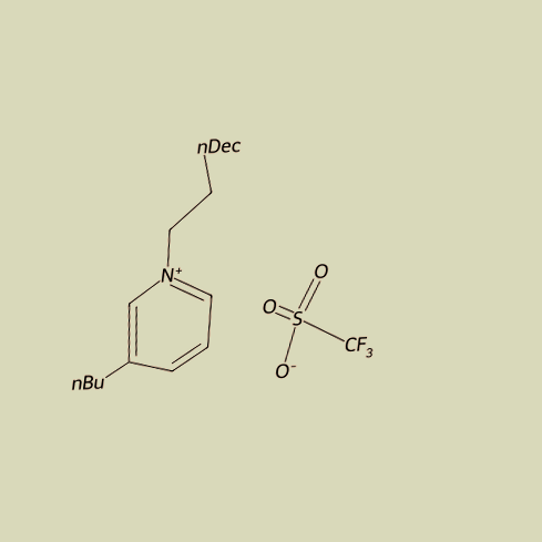 CCCCCCCCCCCC[n+]1cccc(CCCC)c1.O=S(=O)([O-])C(F)(F)F